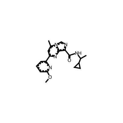 COc1cccc(-c2cc(C)n3cnc(C(=O)NC(C)C4CC4)c3n2)n1